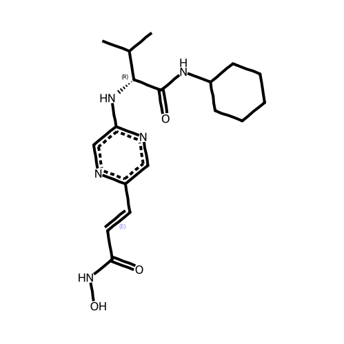 CC(C)[C@@H](Nc1cnc(/C=C/C(=O)NO)cn1)C(=O)NC1CCCCC1